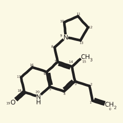 C=CCc1cc2c(c(CN3CCCC3)c1C)CCC(=O)N2